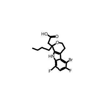 CCCCC1(CC(=O)O)OCCc2c1[nH]c1c(F)cc(F)c(Br)c21